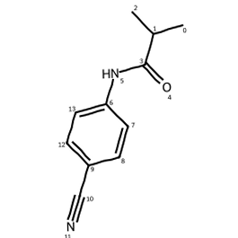 CC(C)C(=O)Nc1ccc(C#N)cc1